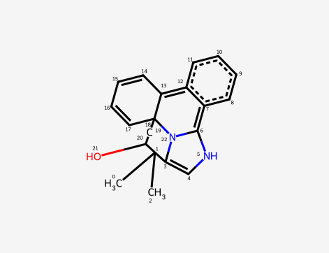 CC1(C)C2=CNC3=c4ccccc4=C4C=CC=CC4(CC1O)N23